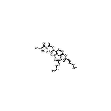 CCCC(C)C(=O)OC(C)CC(c1ccc(OC(=O)OCCC(C)C)c(OC(=O)OCCC(C)C)c1)[C@H](N)C(=O)O